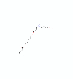 CCCC(=O)OCCCCCOC(=O)CCN(C)CCCCO